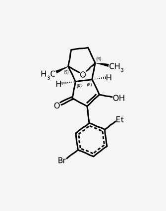 CCc1ccc(Br)cc1C1=C(O)[C@H]2[C@@H](C1=O)[C@]1(C)CC[C@@]2(C)O1